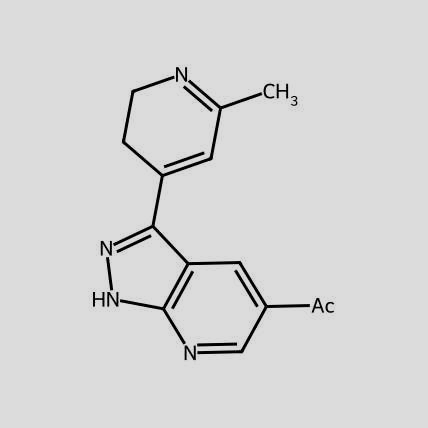 CC(=O)c1cnc2[nH]nc(C3=CC(C)=NCC3)c2c1